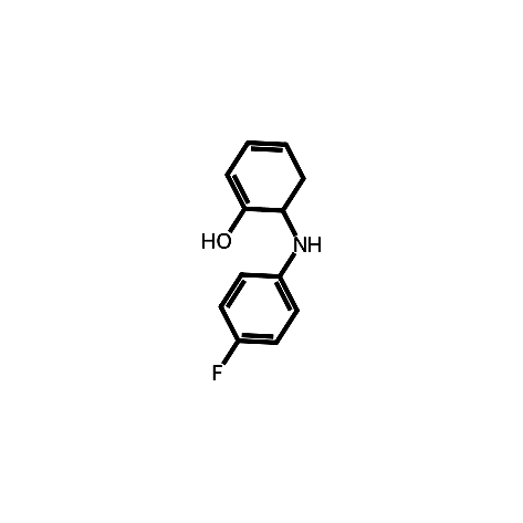 OC1=CC=CCC1Nc1ccc(F)cc1